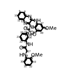 COc1cc(Nc2nc3ccccc3nc2NS(=O)(=O)c2cccc(NC(=O)CNc3ccccc3OC)c2)cc(OC)c1